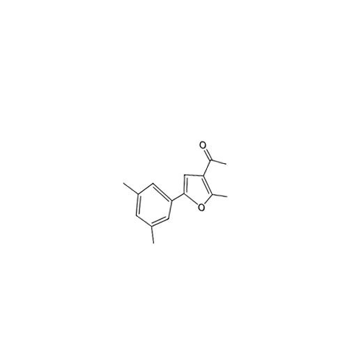 CC(=O)c1cc(-c2cc(C)cc(C)c2)oc1C